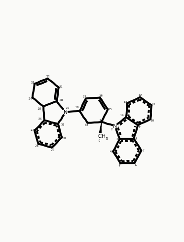 C[C@]1(n2c3ccccc3c3ccccc32)C=CC=C(N2C3=CC=CCC3c3ccccc32)C1